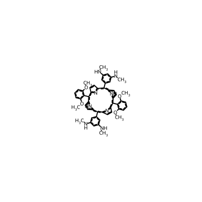 CNc1cc(NC)cc(-c2c3nc(c(-c4c(OC)cccc4OC)c4ccc([nH]4)c(-c4cc(NC)cc(NC)c4)c4nc(c(-c5c(OC)cccc5OC)c5ccc2[nH]5)C=C4)C=C3)c1